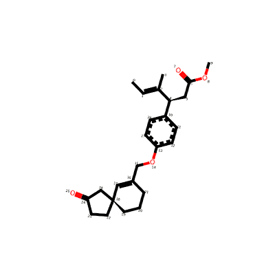 CC=C(C)[C@@H](CC(=O)OC)c1ccc(OCC2=C[C@]3(CCC2)CCC(=O)C3)cc1